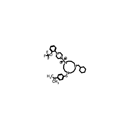 CN(C)c1ccc(SN2CCCN(CC3CCCCC3)CCCN(S(=O)(=O)N3CCN(c4ccccc4OC(F)(F)F)CC3)CCC2)cc1